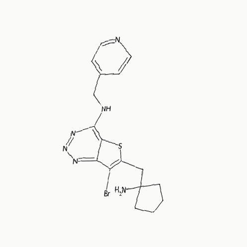 NC1(Cc2sc3c(NCc4ccncc4)nnnc3c2Br)CCCC1